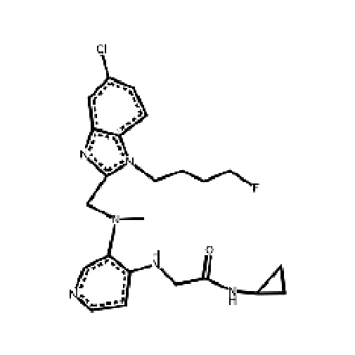 CN(Cc1nc2cc(Cl)ccc2n1CCCCF)c1cnccc1NCC(=O)NC1CC1